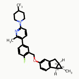 Cc1nc(N2CCC(C(F)(F)F)CC2)ccc1-c1ccc(F)c(COc2ccc3c(c2)C[C@H]2[C@H](C)[C@@H]32)c1